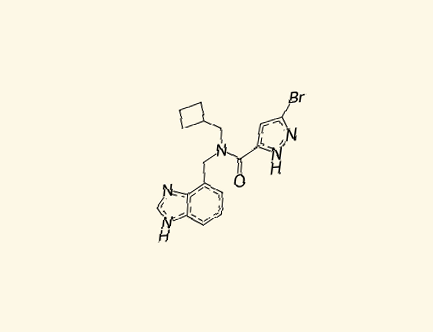 O=C(c1cc(Br)n[nH]1)N(Cc1cccc2[nH]cnc12)CC1CCC1